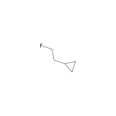 F[CH]CC1CC1